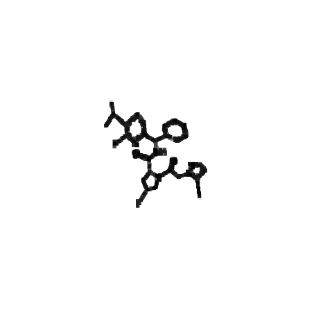 Cc1ccnn1CC(=O)N1CC(F)CC1C(=O)NC(c1ccccc1)c1ccc(C(C)C)c(F)n1